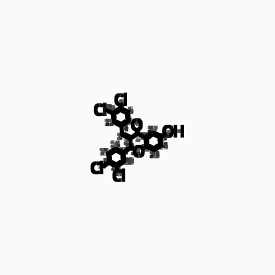 O=C1C(=Cc2ccc(Cl)c(Cl)c2)C(c2ccc(Cl)c(Cl)c2)Oc2ccc(O)cc21